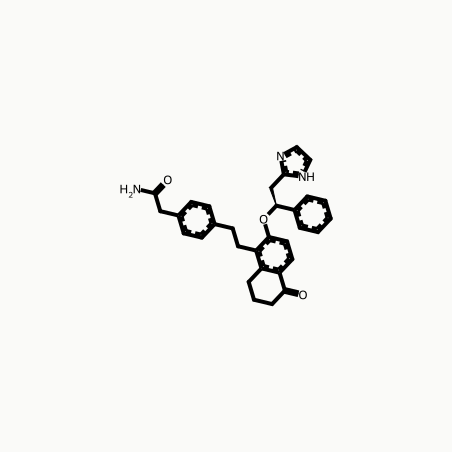 NC(=O)Cc1ccc(CCc2c(O[C@@H](Cc3ncc[nH]3)c3ccccc3)ccc3c2CCCC3=O)cc1